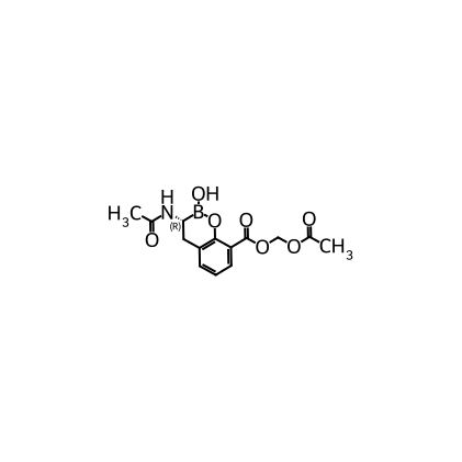 CC(=O)N[C@H]1Cc2cccc(C(=O)OCOC(C)=O)c2OB1O